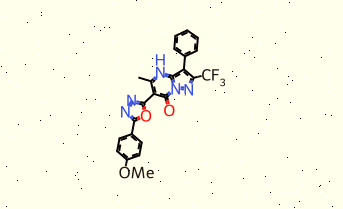 COc1ccc(-c2nnc(-c3c(C)[nH]c4c(-c5ccccc5)c(C(F)(F)F)nn4c3=O)o2)cc1